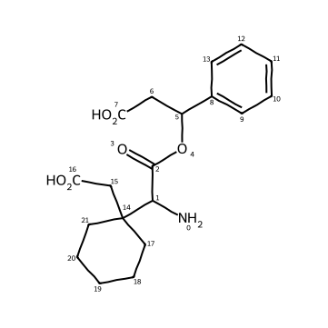 NC(C(=O)OC(CC(=O)O)c1ccccc1)C1(CC(=O)O)CCCCC1